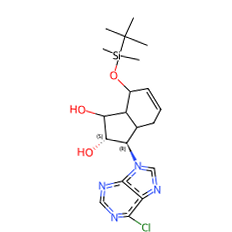 CC(C)(C)[Si](C)(C)OC1C=CCC2C1C(O)[C@@H](O)[C@@H]2n1cnc2c(Cl)ncnc21